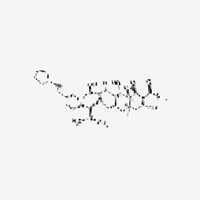 CN(C)c1c2c(c(O)c3cc(CNC4CCCC4)ccc13)C(=O)C1=C(O)[C@]3(O)C(=O)C(C(N)=O)=C(O)C[C@@H]3CC1C2